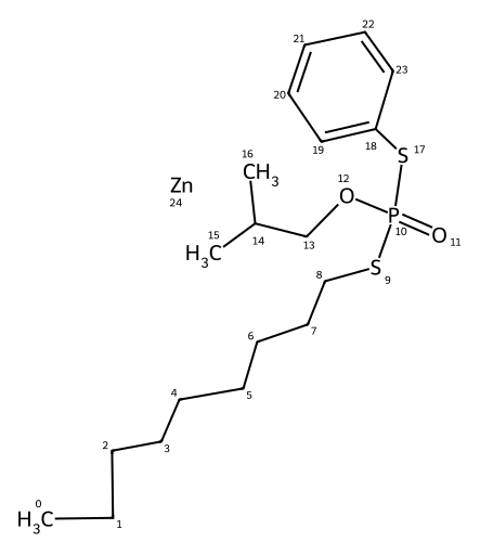 CCCCCCCCCSP(=O)(OCC(C)C)Sc1ccccc1.[Zn]